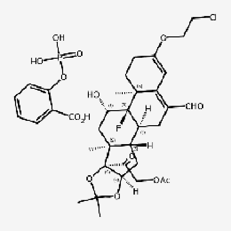 CC(=O)OCC(=O)[C@@]12OC(C)(C)O[C@@H]1C[C@H]1[C@@H]3CC(C=O)=C4C=C(OCCCl)CC[C@]4(C)[C@@]3(F)[C@@H](O)C[C@@]12C.O=C(O)c1ccccc1OP(=O)(O)O